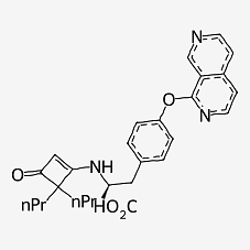 CCCC1(CCC)C(=O)C=C1N[C@@H](Cc1ccc(Oc2nccc3ccncc23)cc1)C(=O)O